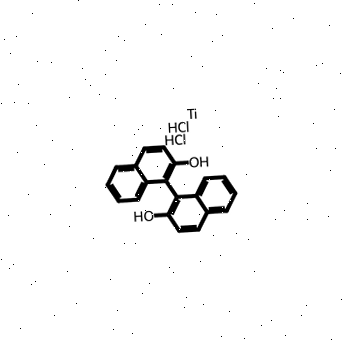 Cl.Cl.Oc1ccc2ccccc2c1-c1c(O)ccc2ccccc12.[Ti]